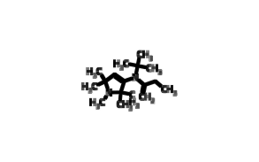 C=C(CC)N(C1=CC(C)(C)N(C)C1(C)C)C(C)(C)C